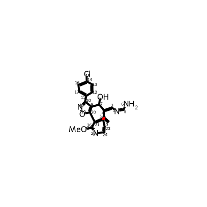 C=C/C(=C\N=C/N)C(O)c1c(-c2ccc(Cl)cc2)noc1-c1cccnc1OC